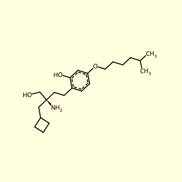 CC(C)CCCCOc1ccc(CC[C@@](N)(CO)CC2CCC2)c(O)c1